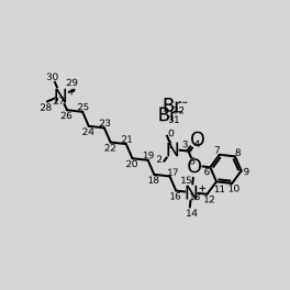 CN(C)C(=O)Oc1ccccc1C[N+](C)(C)CCCCCCCCCCC[N+](C)(C)C.[Br-].[Br-]